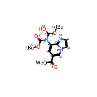 COC(=O)c1cc(N(C(=O)OC(C)(C)C)C(O)OC(C)(C)C)c2nccn2c1